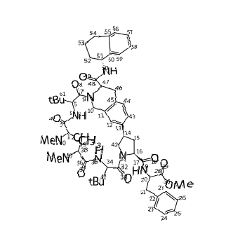 CNC(C)C(=O)NC(C(=O)N1Cc2cc([C@H]3C[C@@H](C(=O)NC(Cc4ccccc4)C(=O)OC)N(C(=O)C(NC(=O)C(C)NC)C(C)(C)C)C3)ccc2CC1C(=O)N[C@@H]1CCCc2ccccc21)C(C)(C)C